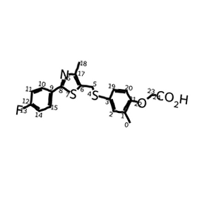 Cc1cc(SCc2sc(-c3ccc(F)cc3)nc2C)ccc1OCC(=O)O